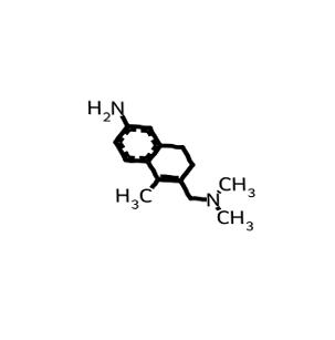 CC1=C(CN(C)C)CCc2cc(N)ccc21